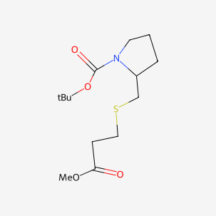 COC(=O)CCSCC1CCCN1C(=O)OC(C)(C)C